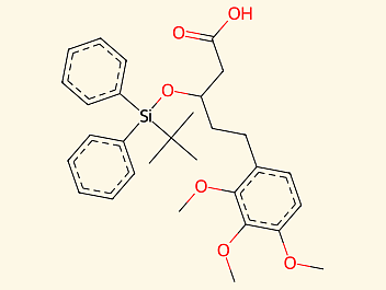 COc1ccc(CCC(CC(=O)O)O[Si](c2ccccc2)(c2ccccc2)C(C)(C)C)c(OC)c1OC